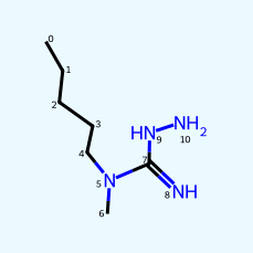 CCCCCN(C)C(=N)NN